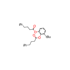 CC(C)CCCC(=O)Oc1cccc(C(C)(C)C)c1OC(=O)CCCC(C)C